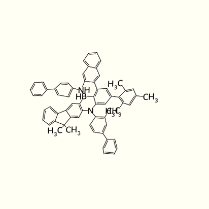 Cc1cc(C)c(-c2cc(-c3cc4ccccc4cc3Nc3ccc(-c4ccccc4)cc3)c3c(c2)N(c2ccc(-c4ccccc4)cc2C)c2cc4c(cc2B3)-c2ccccc2C4(C)C)c(C)c1